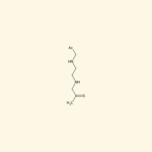 CC(=O)CNCCNCC(C)=S